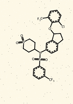 O=S1(=O)CCC(N(c2ccc3c(c2)C(Oc2c(Cl)cccc2C(F)(F)F)CC3)S(=O)(=O)c2cccc(C(F)(F)F)c2)CC1